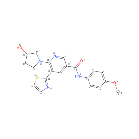 O=C(Nc1ccc(OC(F)(F)F)cc1)c1cnc(N2CCC(O)C2)c(-c2nccs2)c1